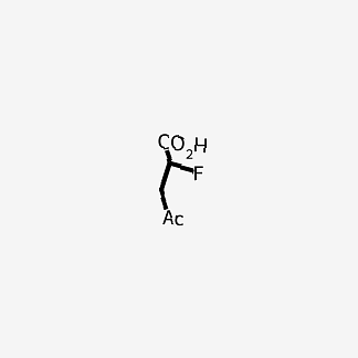 CC(=O)CC(F)C(=O)O